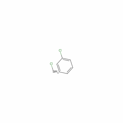 Clc1ccccc1.[SiH3]Cl